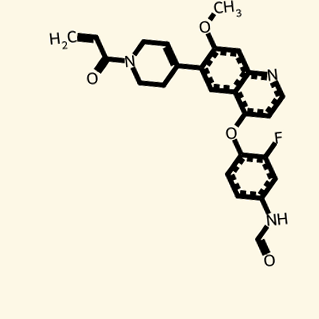 C=CC(=O)N1CC=C(c2cc3c(Oc4ccc(NC=O)cc4F)ccnc3cc2OC)CC1